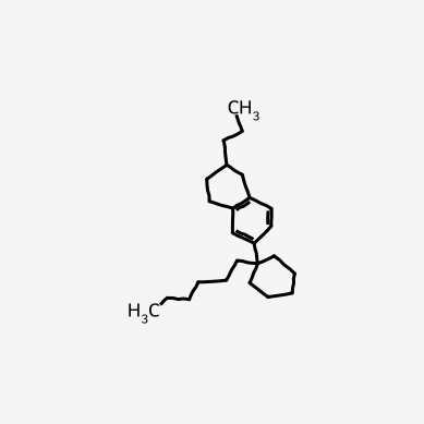 CCCCCCC1(c2ccc3c(c2)CCC(CCC)C3)CCCCC1